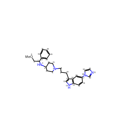 COCC(NC1CCN(CCCc2c[nH]c3ccc(-n4ccnc4)cc23)CC1)c1ccccc1